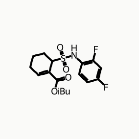 CC(C)COC(=O)C1=CCCCC1S(=O)(=O)Nc1ccc(F)cc1F